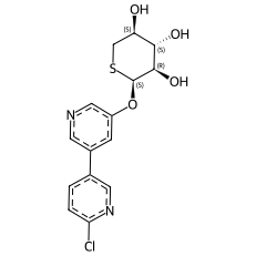 O[C@@H]1[C@@H](O)[C@@H](Oc2cncc(-c3ccc(Cl)nc3)c2)SC[C@H]1O